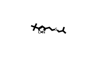 CC(C)CSCCc1cc(C(C)(C)C)on1